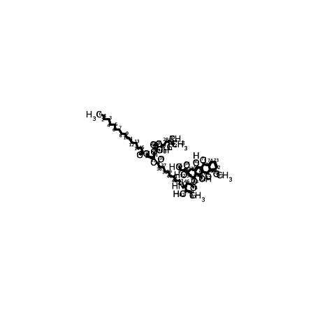 CCCCCCCCCCCCCCCCC(=O)OCC(COP(=O)(O)OCC[N+](C)(C)C)OC(=O)CCCCCCCCN[C@H]1CC(O[C@H]2C[C@](O)(C(=O)CO)Cc3c(O)c4c(c(O)c32)C(=O)c2c(OC)cccc2C4=O)O[C@@H](C)[C@H]1O